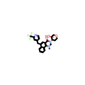 CN1CN([C@H]2CCOC[C@@H]2O)C(=O)c2cc(Cc3ccnc(C(F)(F)F)c3)c3ccccc3c21